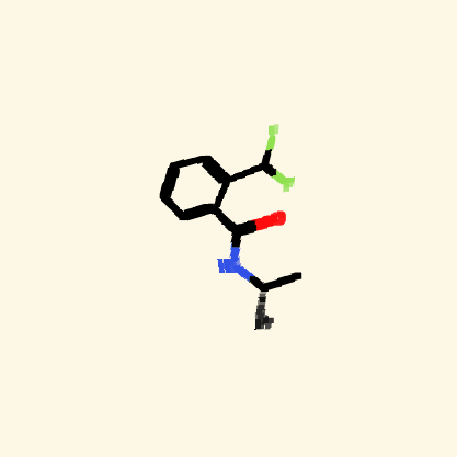 CC(C)[C@@H](C)NC(=O)c1ccccc1C(F)F